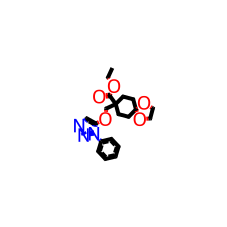 CCOC(=O)C1(COc2cnnn2-c2ccccc2)CCC2(CC1)OCCO2